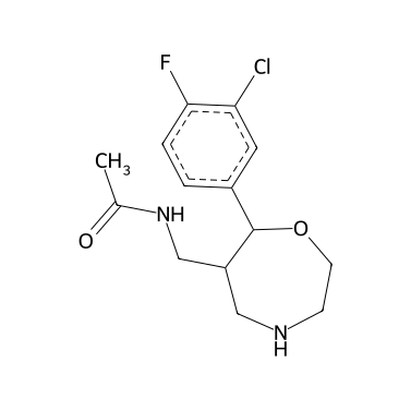 CC(=O)NCC1CNCCOC1c1ccc(F)c(Cl)c1